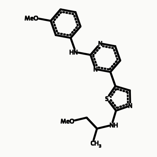 COCC(C)Nc1ncc(-c2ccnc(Nc3cccc(OC)c3)n2)s1